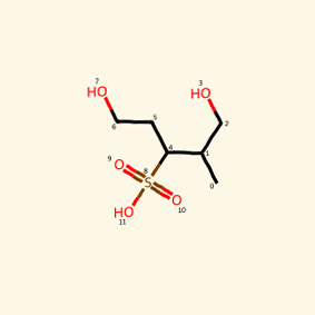 CC(CO)C(CCO)S(=O)(=O)O